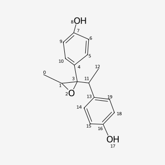 CC1OC1(c1ccc(O)cc1)C(C)c1ccc(O)cc1